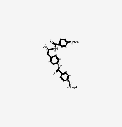 CCCCCCCOc1ccc(C(=O)Oc2ccc(C[C@H](NC(=O)c3ccc(NC(C)=O)cc3)C(C)=O)cc2)cc1